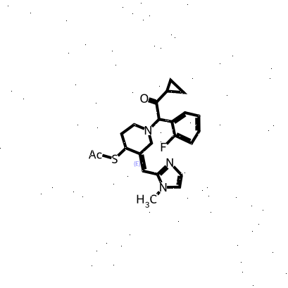 CC(=O)SC1CCN(C(C(=O)C2CC2)c2ccccc2F)C/C1=C\c1nccn1C